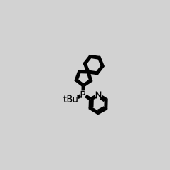 CC(C)(C)P(c1ccccn1)C1CCC2(CCCCC2)C1